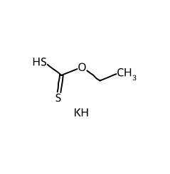 CCOC(=S)S.[KH]